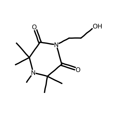 CN1C(C)(C)C(=O)N(CCO)C(=O)C1(C)C